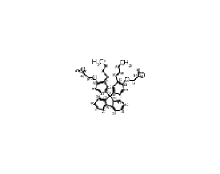 CCCCc1cc(C2(c3ccc(OCC4CO4)c(CCCC)c3)c3ccccc3-c3ccccc32)ccc1OCC1CO1